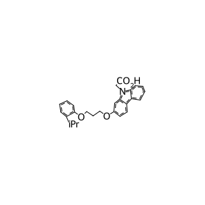 CC(C)c1ccccc1OCCCOc1ccc2c3ccccc3n(CC(=O)O)c2c1